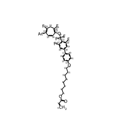 C=CC(=O)OCCCCCCCCOc1ccc(-c2cc(F)c(C(F)(F)OC3=C(F)CC(F)=C(C(C)=O)C=C3)c(F)c2)cc1